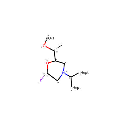 CCCCCCCCO[C@H](C)C1CN(C(CCCCCCC)CCCCCCC)C[C@H](I)O1